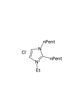 CCCCCc1n(CCCCC)cc[n+]1CC.[Cl-]